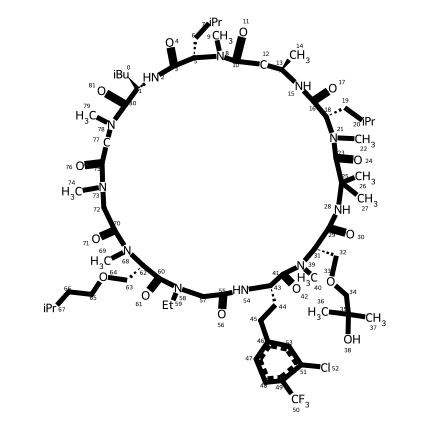 CC[C@H](C)[C@@H]1NC(=O)[C@H](CC(C)C)N(C)C(=O)C[C@@H](C)NC(=O)[C@H](CC(C)C)N(C)C(=O)C(C)(C)NC(=O)[C@H](COCC(C)(C)O)N(C)C(=O)[C@H](CCc2ccc(C(F)(F)F)c(Cl)c2)NC(=O)CN(CC)C(=O)[C@H](COCCC(C)C)N(C)C(=O)CN(C)C(=O)CN(C)C1=O